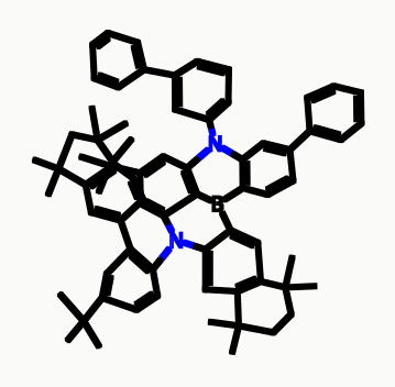 CC(C)(C)c1ccc(N2c3cc4c(cc3B3c5ccc(-c6ccccc6)cc5N(c5cccc(-c6ccccc6)c5)c5cc(C(C)(C)C)cc2c53)C(C)(C)CCC4(C)C)c(-c2ccc3c(c2)C(C)(C)CC3(C)C)c1